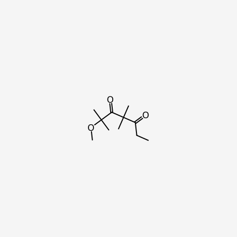 CCC(=O)C(C)(C)C(=O)C(C)(C)OC